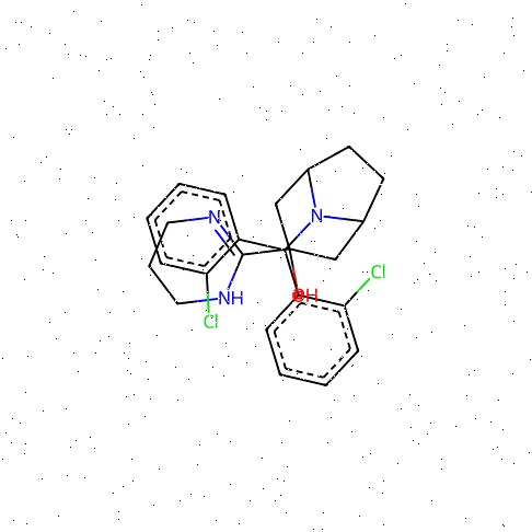 OC1(C2=NCCCN2)CC2CCC(C1)N2C(c1ccccc1Cl)c1ccccc1Cl